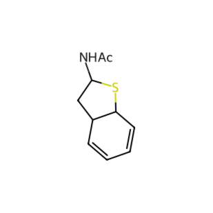 CC(=O)NC1CC2C=CC=CC2S1